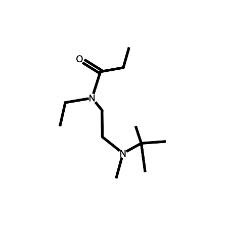 CCC(=O)N(CC)CCN(C)C(C)(C)C